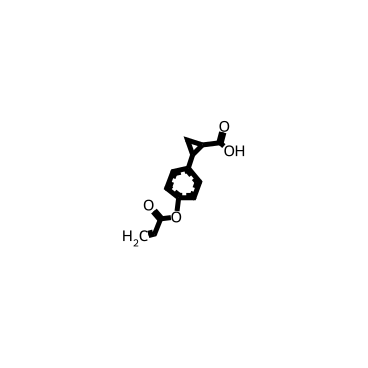 C=CC(=O)Oc1ccc(C2CC2C(=O)O)cc1